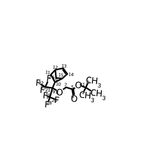 CC(C)(C)OC(=O)COC(C1CC2C=CC1C2)(C(F)(F)F)C(F)(F)F